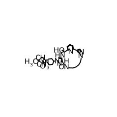 CC(C)(C)OC(=O)N1CCC(n2cc3c(n2)C(=O)NCCCCCCn2cc(cn2)-c2cccc(n2)C(O)N3)CC1